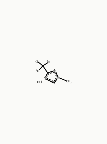 Cl.[2H]C([2H])(Cl)c1ncn(C)n1